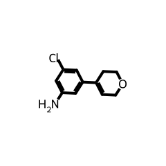 Nc1cc(Cl)cc(C2=CCOCC2)c1